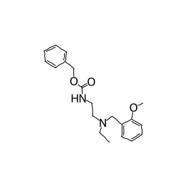 CCN(CCNC(=O)OCc1ccccc1)Cc1ccccc1OC